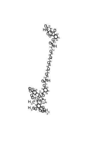 CC[C@H](C(=O)N1CCCC[C@H]1C(=O)O[C@H](CCc1ccc(OC)c(OC)c1)c1cccc(OCC(=O)NCCOCCOCCOCCOCCOCCNC(=O)COc2cccc3c2C(=O)N(C2CCC(=O)NC2=O)C3=O)c1)c1cc(OC)c(OC)c(OC)c1